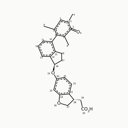 Cc1cn(C)c(=O)c(C)c1-c1cccc2c1CC[C@H]2Oc1ccc2c(c1)OC[C@H]2CC(=O)O